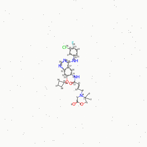 CC1(C)COC(=O)CN1C/C=C/C(=O)Nc1cc2c(Nc3ccc(F)c(Cl)c3)ncnc2cc1OC1CCC1